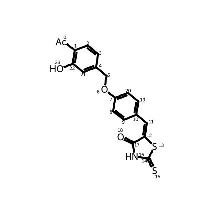 CC(=O)c1ccc(COc2ccc(C=C3SC(=S)NC3=O)cc2)cc1O